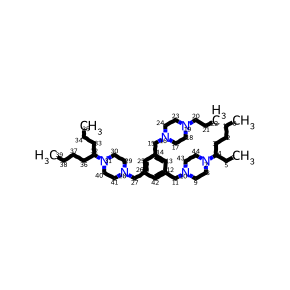 CCCCC(CC)N1CCN(Cc2cc(CN3CCN(CCC)CC3)cc(CN3CCN(C(CCC)CCCC)CC3)c2)CC1